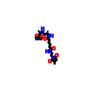 CC1=CC(=O)N(CCNC(=O)CCCCC(=O)N[C@@H](C)C(=O)N[C@@H](C)C(=O)OC(C)(C)C)C1=O